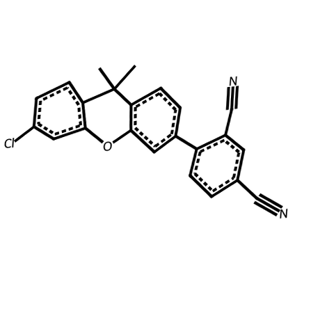 CC1(C)c2ccc(Cl)cc2Oc2cc(-c3ccc(C#N)cc3C#N)ccc21